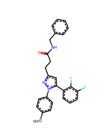 COc1ccc(-n2nc(CCC(=O)NCc3ccccc3)cc2-c2cccc(F)c2F)cc1